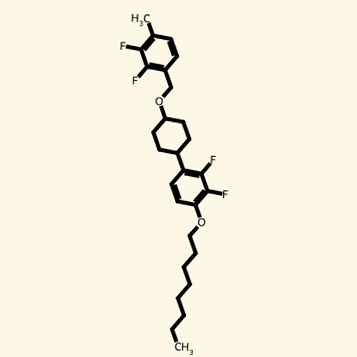 CCCCCCCCOc1ccc(C2CCC(OCc3ccc(C)c(F)c3F)CC2)c(F)c1F